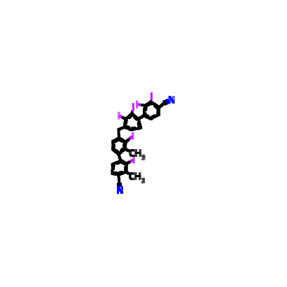 Cc1c(-c2ccc(C#N)c(C)c2I)ccc(Cc2ccc(-c3ccc(C#N)c(I)c3I)c(I)c2I)c1I